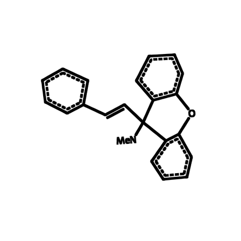 CNC1(C=Cc2ccccc2)c2ccccc2Oc2ccccc21